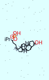 CC(C)C(CC[C@@H](C)[C@H]1CC[C@H]2[C@@H]3CC=C4C[C@@H](O)CC[C@]4(C)[C@H]3CC[C@]12C)OP(C)(=O)O